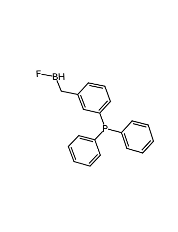 FBCc1cccc(P(c2ccccc2)c2ccccc2)c1